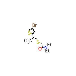 CCN(CC)C(=O)CSCC(c1cc(Br)cs1)[N+](=O)[O-]